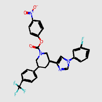 O=C(Oc1ccc([N+](=O)[O-])cc1)N1CC(c2ccc(C(F)(F)F)cc2)CC(c2cn(-c3cccc(F)c3)cn2)C1